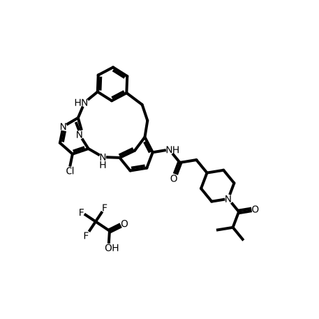 CC(C)C(=O)N1CCC(CC(=O)Nc2ccc3cc2CCc2cccc(c2)Nc2ncc(Cl)c(n2)N3)CC1.O=C(O)C(F)(F)F